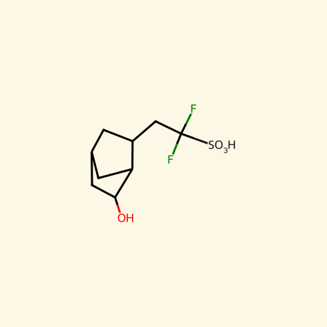 O=S(=O)(O)C(F)(F)CC1CC2CC(O)C1C2